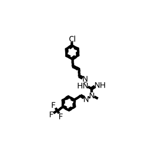 CN(N=Cc1ccc(C(F)(F)F)cc1)C(=N)NN=C/C=C/c1ccc(Cl)cc1